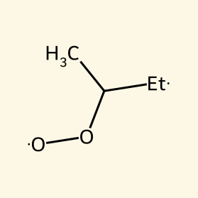 C[CH]C(C)O[O]